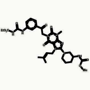 CCOC(=O)NC(=O)Nc1cccc(C(=O)Cn2c(=O)c3c(nc(N4CCCC(NC(=O)OC(C)(C)C)C4)n3CC=C(C)C)n(C)c2=O)c1